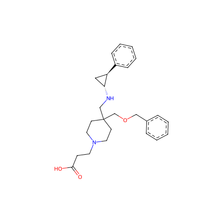 O=C(O)CCN1CCC(CN[C@@H]2C[C@H]2c2ccccc2)(COCc2ccccc2)CC1